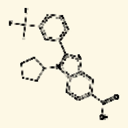 O=C(O)c1ccc2c(c1)nc(-c1cccc(C(F)(F)F)c1)n2C1CCCC1